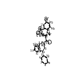 O=C(NCC(c1ccccc1)n1cccn1)C1=Nc2ccc(Br)cc2S(=O)(=O)N1